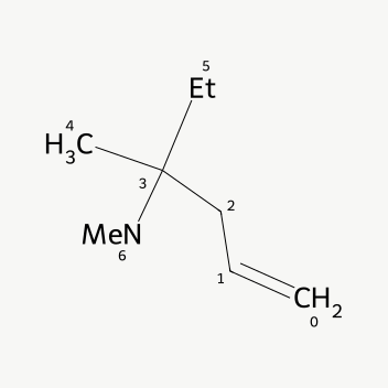 C=CCC(C)(CC)NC